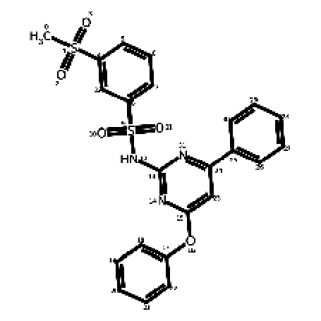 CS(=O)(=O)c1cccc(S(=O)(=O)Nc2nc(Oc3ccccc3)cc(-c3ccccc3)n2)c1